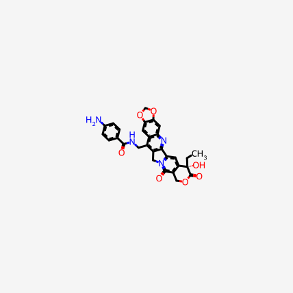 CC[C@@]1(O)C(=O)OCc2c1cc1n(c2=O)Cc2c-1nc1cc3c(cc1c2CNC(=O)c1ccc(N)cc1)OCO3